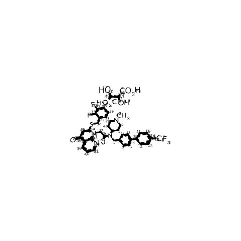 CN1CCC(N(Cc2ccc(-c3ccc(C(F)(F)F)cc3)cc2)C(=O)Cn2c(SCc3cccc(F)c3F)cc(=O)c3cccnc32)CC1.O=C(O)C(O)C(O)C(=O)O